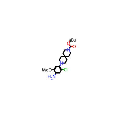 COc1cc(N2CCC3(CCN(C(=O)OC(C)(C)C)CC3)CC2)c(Cl)cc1N